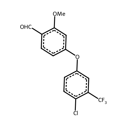 COc1cc(Oc2ccc(Cl)c(C(F)(F)F)c2)ccc1C=O